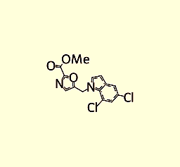 COC(=O)c1ncc(Cn2ccc3cc(Cl)cc(Cl)c32)o1